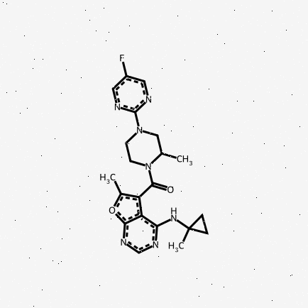 Cc1oc2ncnc(NC3(C)CC3)c2c1C(=O)N1CCN(c2ncc(F)cn2)CC1C